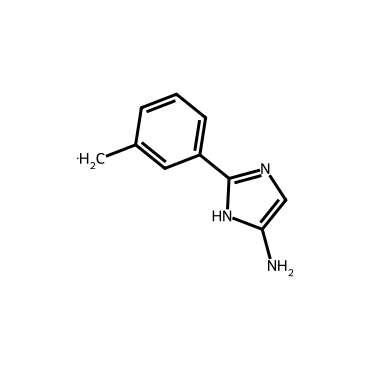 [CH2]c1cccc(-c2ncc(N)[nH]2)c1